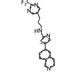 FC(F)(F)c1ncc(CCCNc2ncc(-c3ccc4cnccc4c3)s2)cn1